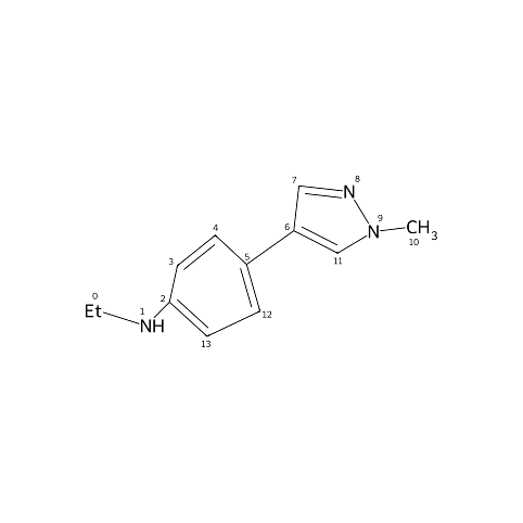 CCNc1ccc(-c2cnn(C)c2)cc1